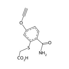 C#COc1ccc(C(N)=O)c(SCC(=O)O)c1